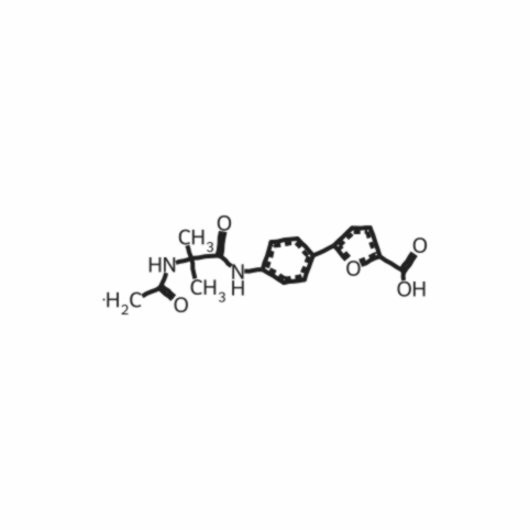 [CH2]C(=O)NC(C)(C)C(=O)Nc1ccc(-c2ccc(C(=O)O)o2)cc1